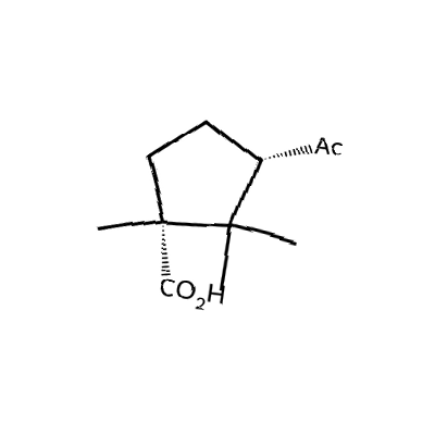 CC(=O)[C@H]1CC[C@@](C)(C(=O)O)C1(C)C